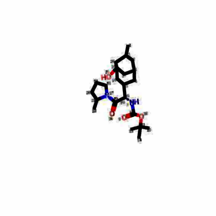 CC1CC2CC([C@H](NC(=O)OC(C)(C)C)C(=O)N3CCCC3C)CC(O)(C1)C2